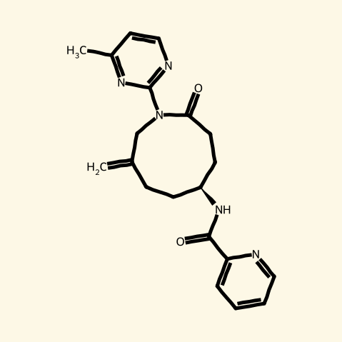 C=C1CC[C@H](NC(=O)c2ccccn2)CCC(=O)N(c2nccc(C)n2)C1